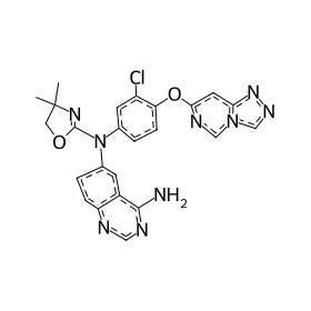 CC1(C)COC(N(c2ccc(Oc3cc4nncn4cn3)c(Cl)c2)c2ccc3ncnc(N)c3c2)=N1